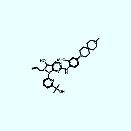 C=CCN1C(O)c2cnc(Nc3ccc(N4CCC5(CCN(C)CC5)CC4)cc3OC)nc2N1c1cccc(C(C)(C)O)n1